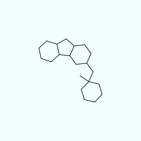 CC1(CC2CCC3CC4CCCCC4C3C2)CCCCC1